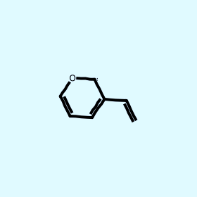 C=CC1=CC=CO[C]1